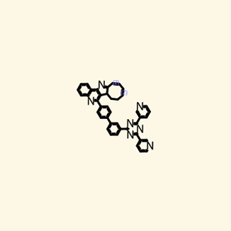 C1=C\CCC2C(=Nc3c2c(-c2ccc(-c4cccc(-c5nc(-c6cccnc6)nc(-c6cccnc6)n5)c4)cc2)nc2ccccc32)\C=C/1